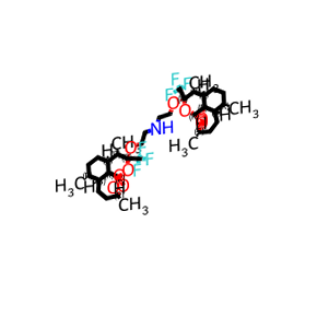 C[C@@H]1CC[C@H]2[C@@H](C)[C@](OCCNCCO[C@@]3(C(F)(F)F)O[C@@H]4O[C@]5(C)CC[C@H]6[C@H](C)CC[C@@H]([C@H]3C)[C@@]46OO5)(C(F)(F)F)O[C@@H]3O[C@@]4(C)CC[C@@H]1[C@]32OO4